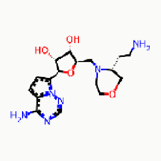 NCC[C@@H]1COCCN1C[C@H]1O[C@@H](c2ccc3c(N)ncnn23)[C@H](O)[C@@H]1O